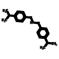 CC(C)c1ccc(OPOc2ccc(C(C)C)cc2)cc1